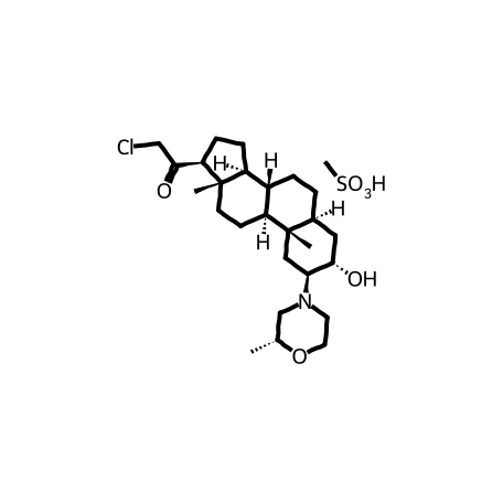 CS(=O)(=O)O.C[C@@H]1CN([C@H]2C[C@@]3(C)[C@@H](CC[C@@H]4[C@@H]3CC[C@]3(C)[C@@H](C(=O)CCl)CC[C@@H]43)C[C@@H]2O)CCO1